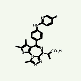 Cc1sc2c(c1C)C(c1ccc(Nc3ccc(F)cn3)cc1)=N[C@@H](C(C)C(=O)O)c1nnc(C)n1-2